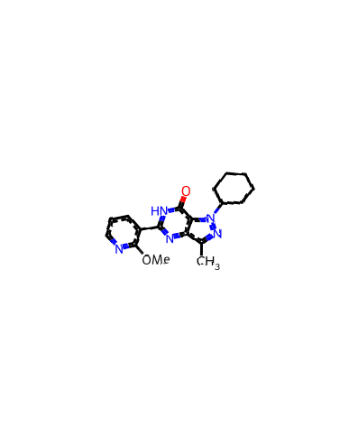 COc1ncccc1-c1nc2c(C)nn(C3CCCCC3)c2c(=O)[nH]1